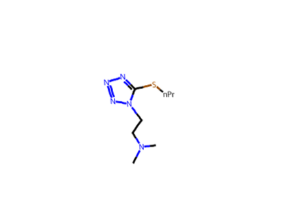 [CH2]CCSc1nnnn1CCN(C)C